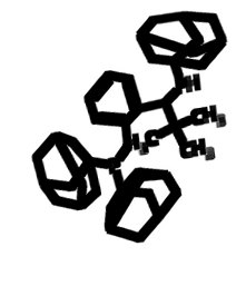 CC(C)(C)C(PC12CC3CC(CC(C3)C1)C2)c1ccccc1CP(C12CC3CC(CC(C3)C1)C2)C12CC3CC(CC(C3)C1)C2